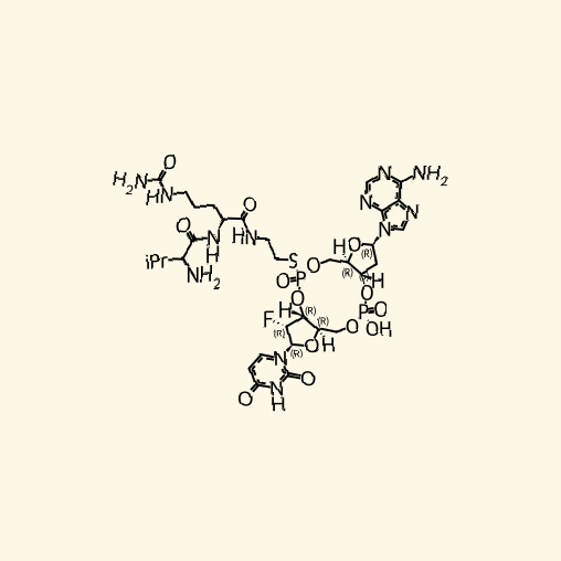 CC(C)C(N)C(=O)NC(CCCNC(N)=O)C(=O)NCCSP1(=O)OC[C@H]2O[C@@H](n3cnc4c(N)ncnc43)C[C@@H]2OP(=O)(O)OC[C@H]2O[C@@H](n3ccc(=O)[nH]c3=O)[C@H](F)[C@@H]2O1